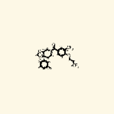 O=C(c1ccc(OCCC(F)(F)F)c(C(F)(F)F)c1)N1CC[C@@]2(c3cccc(F)c3)OCOC2C1